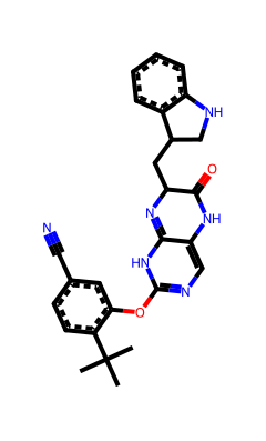 CC(C)(C)c1ccc(C#N)cc1OC1=NC=C2NC(=O)C(CC3CNc4ccccc43)N=C2N1